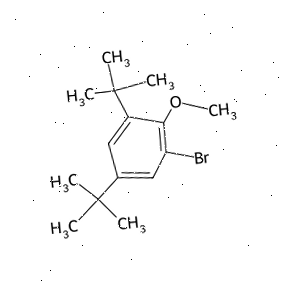 COc1c(Br)cc(C(C)(C)C)cc1C(C)(C)C